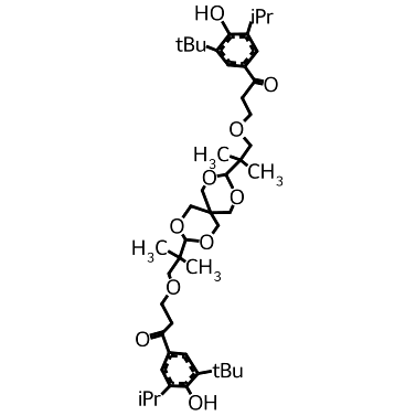 CC(C)c1cc(C(=O)CCOCC(C)(C)C2OCC3(CO2)COC(C(C)(C)COCCC(=O)c2cc(C(C)C)c(O)c(C(C)(C)C)c2)OC3)cc(C(C)(C)C)c1O